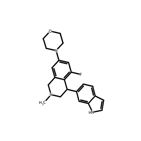 CN1Cc2cc(N3CCOCC3)cc(F)c2C(c2ccc3cc[nH]c3c2)C1